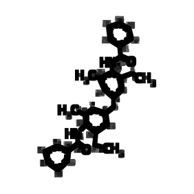 CCc1cc(Cc2cc(C)c(NC(=O)c3ccccc3)c(CC)c2)cc(C)c1NC(=O)c1ccccc1